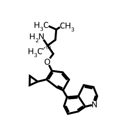 CC(C)C[C@](C)(N)COc1ccc(-c2cccc3ncccc23)cc1C1CC1